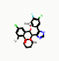 Cc1cc(Cl)cc(C(OC=O)C(c2nc[nH]c2-c2ccc(F)c(Cl)c2)C2CCCCC2)c1C(=O)OC(C)(C)C